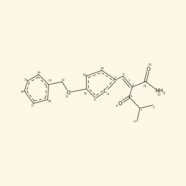 CC(C)C(=O)/C(=C\c1ccc(OCc2ccccc2)cc1)C(N)=O